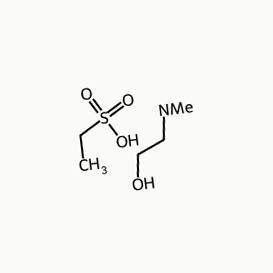 CCS(=O)(=O)O.CNCCO